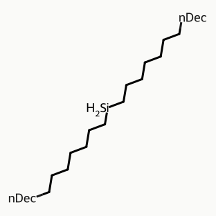 CCCCCCCCCCCCCCCCC[SiH2]CCCCCCCCCCCCCCCCC